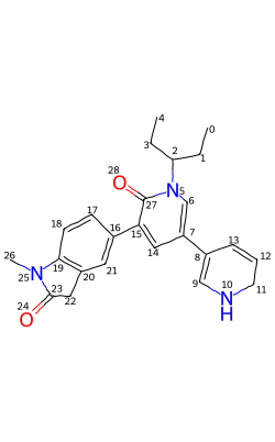 CCC(CC)n1cc(C2=CNCC=C2)cc(-c2ccc3c(c2)CC(=O)N3C)c1=O